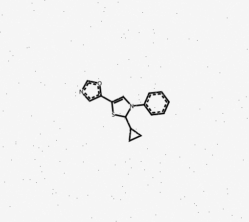 [C]1=C(c2cnco2)SC(C2CC2)N1c1ccccc1